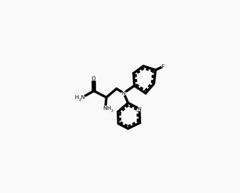 NC(=O)C(N)CN(c1ccc(F)cc1)c1ccccn1